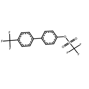 O=S(=O)(Oc1ccc(-c2ccc(C(F)(F)F)cc2)cc1)C(F)(F)F